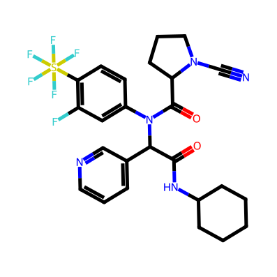 N#CN1CCCC1C(=O)N(c1ccc(S(F)(F)(F)(F)F)c(F)c1)C(C(=O)NC1CCCCC1)c1cccnc1